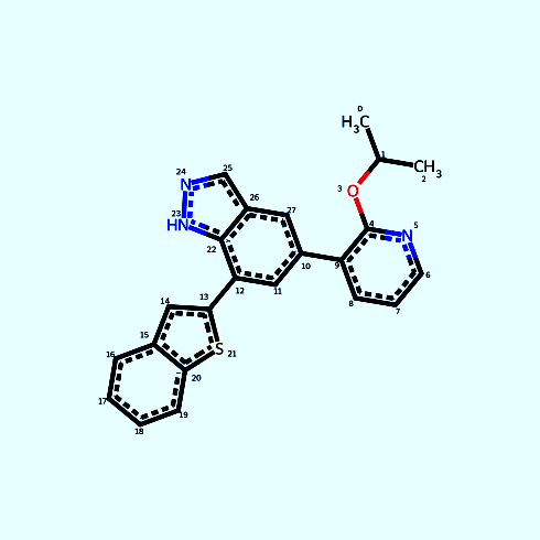 CC(C)Oc1ncccc1-c1cc(-c2cc3ccccc3s2)c2[nH]ncc2c1